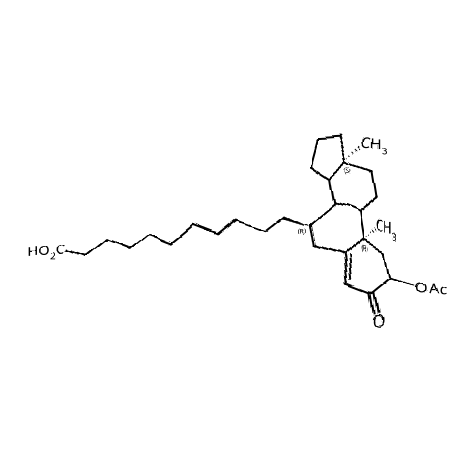 CC(=O)OC1C[C@@]2(C)C(=CC1=O)C[C@@H](CCCCCCCCCCC(=O)O)C1C3CCC[C@@]3(C)CCC12